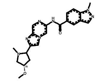 CO[C@H]1CC(c2cn3cc(NC(=O)c4ccc5c(cnn5C)c4)ncc3n2)N(C)C1